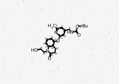 Cc1cc(CNC(=O)OC(C)(C)C)cc(Oc2cccc3c2CCC(=O)N3CCO)n1